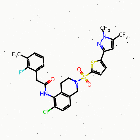 Cn1nc(-c2ccc(S(=O)(=O)N3CCc4c(ccc(Cl)c4NC(=O)Cc4cccc(C(F)(F)F)c4F)C3)s2)cc1C(F)(F)F